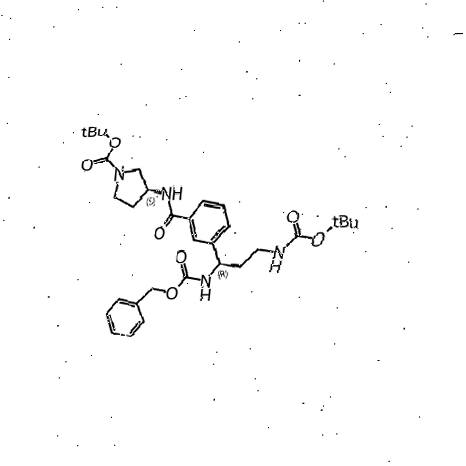 CC(C)(C)OC(=O)NCC[C@@H](NC(=O)OCc1ccccc1)c1cccc(C(=O)N[C@H]2CCN(C(=O)OC(C)(C)C)C2)c1